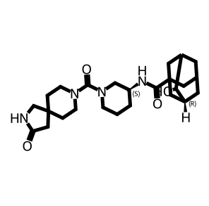 O=C1CC2(CCN(C(=O)N3CCC[C@H](NC(=O)C45CC6CC(C4)C(O)[C@H](C6)C5)C3)CC2)CN1